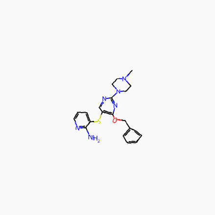 CN1CCN(c2ncc(Sc3cccnc3N)c(OCc3ccccc3)n2)CC1